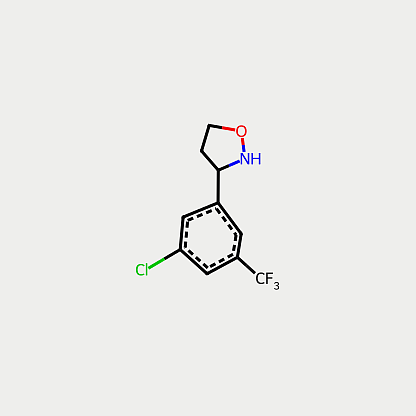 FC(F)(F)c1cc(Cl)cc(C2CCON2)c1